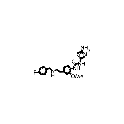 COc1cc(CCNCc2ccc(F)cc2)ccc1NC(=O)Nc1cnc(N)cn1